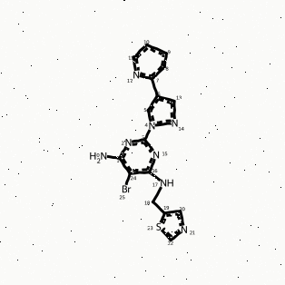 Nc1nc(-n2cc(-c3ccccn3)cn2)nc(NCc2cncs2)c1Br